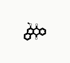 COc1cc2ccccc2c2c1C(=O)c1ccccc1C2=O